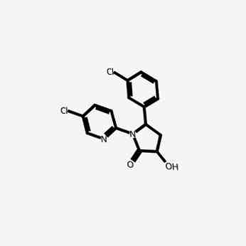 O=C1C(O)CC(c2cccc(Cl)c2)N1c1ccc(Cl)cn1